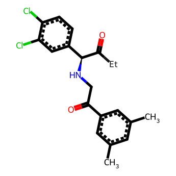 CCC(=O)[C@@H](NCC(=O)c1cc(C)cc(C)c1)c1ccc(Cl)c(Cl)c1